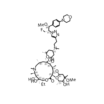 CC[C@H]1OC(=O)[C@H](C)[C@@H](O[C@H]2C[C@@](C)(OC)[C@@H](O)[C@H](C)O2)[C@H](C)[C@@H](O[C@H]2C[C@@H](N(C)CCc3cn([C@H](CF)[C@H](OC)c4ccc(N5CCOCC5)cc4)nn3)C[C@@H](C)O2)[C@](C)(O)C[C@@H](C)CN(C)[C@H](C)[C@@H](O)[C@]1(C)O